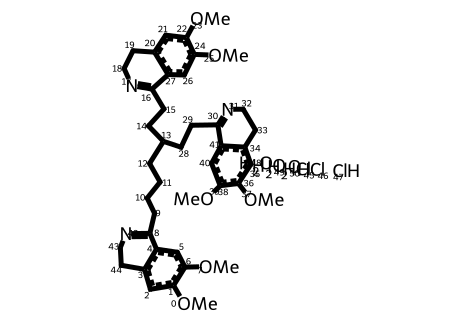 COc1cc2c(cc1OC)C(CCCCC(CCC1=NCCc3cc(OC)c(OC)cc31)CCC1=NCCc3cc(OC)c(OC)cc31)=NCC2.Cl.Cl.Cl.O.O.O